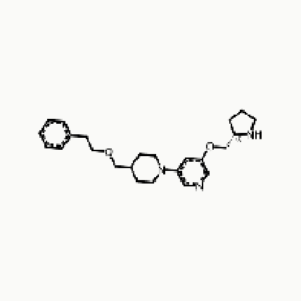 c1ccc(CCOCC2CCN(c3cncc(OC[C@@H]4CCCN4)c3)CC2)cc1